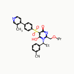 CCC(c1cccc(C#N)c1)n1c(COC(C)C)nc(=O)c(S(=O)(=O)c2ccc(-c3ccncc3C)cc2)c1O